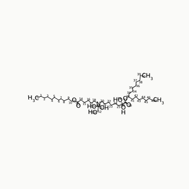 CCCCCCCCCCCOC(=O)CCCCCN(CCCCCCC(O)(O)C(=O)OC(CCCCCCCC)CCCCCCCC)C(O)(O)CO